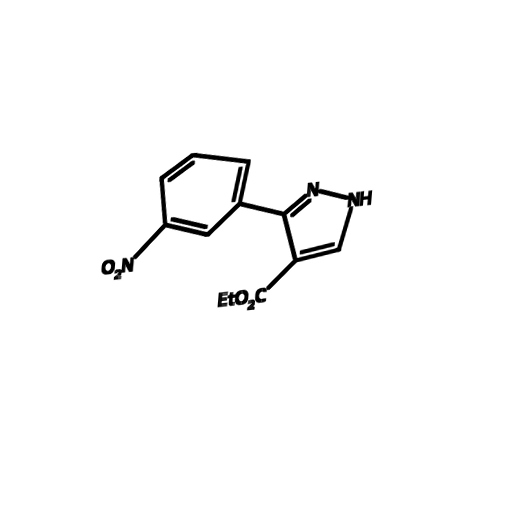 CCOC(=O)c1c[nH]nc1-c1cccc([N+](=O)[O-])c1